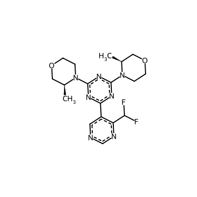 C[C@H]1COCCN1c1nc(-c2cncnc2C(F)F)nc(N2CCOC[C@@H]2C)n1